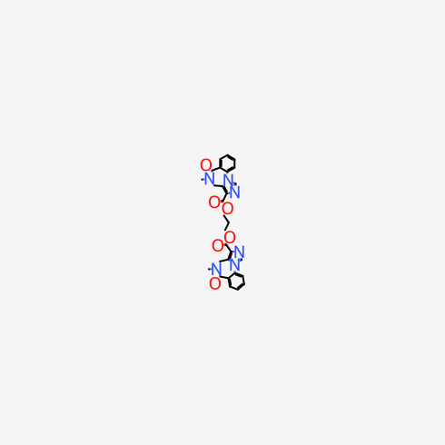 CN1Cc2c(C(=O)OCCCOC(=O)c3ncn4c3CN(C)C(=O)c3ccccc3-4)ncn2-c2ccccc2C1=O